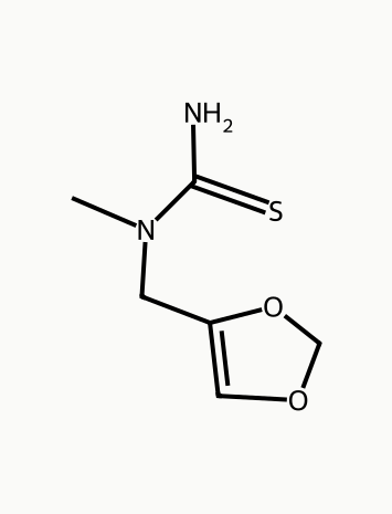 CN(CC1=COCO1)C(N)=S